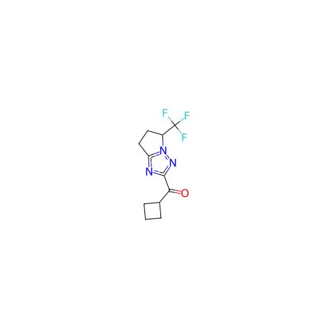 O=C(c1nc2n(n1)C(C(F)(F)F)CC2)C1CCC1